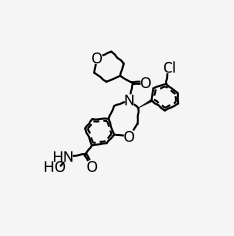 O=C(NO)c1ccc2c(c1)OC[C@H](c1cccc(Cl)c1)N(C(=O)C1CCOCC1)C2